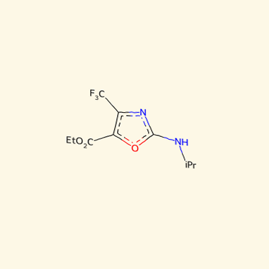 CCOC(=O)c1oc(NC(C)C)nc1C(F)(F)F